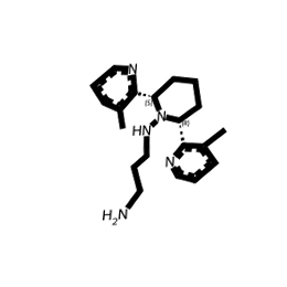 Cc1cccnc1[C@H]1CCC[C@@H](c2ncccc2C)N1NCCCN